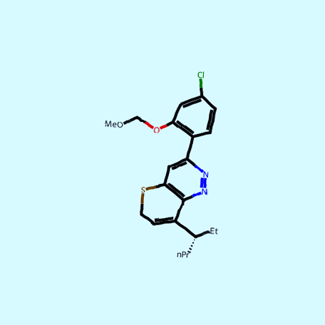 CCC[C@@H](CC)C1=CCSc2cc(-c3ccc(Cl)cc3OCOC)nnc21